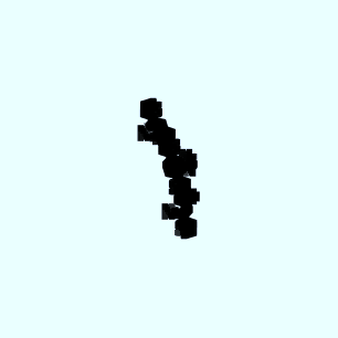 Cn1c(/C=C(\C#N)c2cccs2)cc2sc(-c3ccc(-c4cc5c(cc(/C=C(\C#N)c6cccs6)n5C)s4)c4nsnc34)cc21